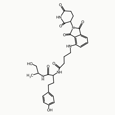 CC(CO)NC(=O)C(CCc1ccc(O)cc1)NC(=O)CCCNc1cccc2c1C(=O)N(C1CCC(=O)NC1=O)C2=O